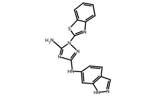 Nc1nc(Nc2ccc3cn[nH]c3c2)nn1-c1nc2ccccc2s1